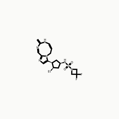 C=C1/N=C\c2ncc([C@H]3C[C@@H](NS(=O)(=O)N4CC(F)(F)C4)C[C@H]3CC)n2C/C=C\N1